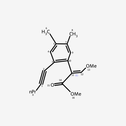 CCCC#Cc1cc(C)c(C)cc1/C(=C\OC)C(=O)OC